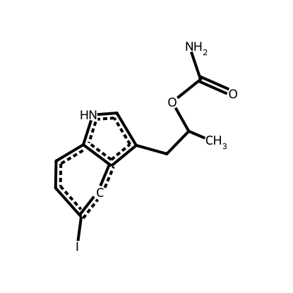 CC(Cc1c[nH]c2ccc(I)cc12)OC(N)=O